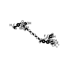 Cc1ncsc1-c1ccc(CNC(=O)[C@@H]2C[C@@H](O)CN2C(=O)C(NC(=O)CCOCCOCCOCCOCCNC(=O)c2ccc(-c3ccc(N4C[C@@H](C)N(C)[C@@H](C)C4)c(NC(=O)c4c[nH]c(=O)cc4C(F)(F)F)c3)c(F)c2)C(C)(C)C)cc1